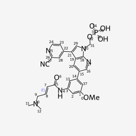 COc1cc(NC(=O)/C=C/CN(C)C)cc(-c2cnc3c(c2)c(-c2ccnc(C#N)c2)cn3COP(=O)(O)O)c1